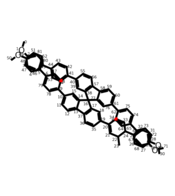 COc1ccc(-c2ccc(-c3ccc4c(c3)C3(c5cc(C6=CC(C)C(c7ccc(OC)cc7)C=C6)ccc5-4)c4cc(-c5ccc(-c6ccc(OC)cc6)cc5)ccc4-c4ccc(-c5ccc(-c6ccc(OC)cc6)cc5)cc43)cc2)cc1